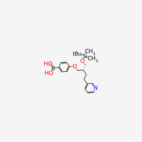 CC(C)(C)[Si](C)(C)OC[C@H](CCc1cccnc1)COc1ccc(B(O)O)cc1